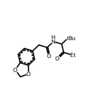 CCC(=O)C(NC(=O)Cc1ccc2c(c1)OCO2)C(C)(C)C